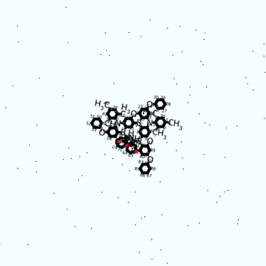 Cc1cc(C)c(N2c3cc4c(cc3B3c5cc6c(cc5Oc5cc(Oc7ccccc7)cc2c53)N(c2c(C)cc(C)cc2C)c2cc(Oc3ccccc3)cc3c2B6c2[nH]c5ccccc5c2O3)B2c3[nH]c5ccccc5c3Oc3cc(Oc5ccccc5)cc(c32)O4)c(C)c1